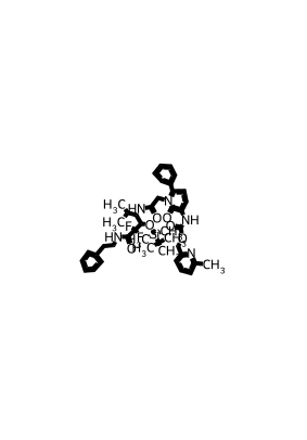 Cc1cccc(COC(=O)Nc2ccc(-c3ccccc3)n(CC(=O)NC(C(C)C)C(O[Si](C)(C)C(C)(C)C)C(F)(F)C(=O)NCCc3ccccc3)c2=O)n1